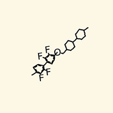 Cc1ccc(-c2ccc(OCC3CCC(C4CCC(C)CC4)CC3)c(F)c2F)c(F)c1F